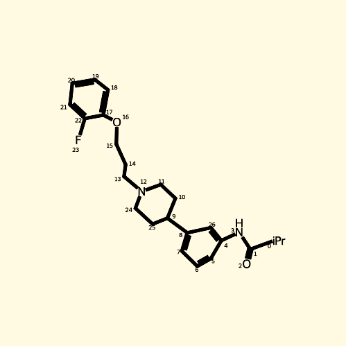 CC(C)C(=O)Nc1cccc(C2CCN(CCCOc3ccccc3F)CC2)c1